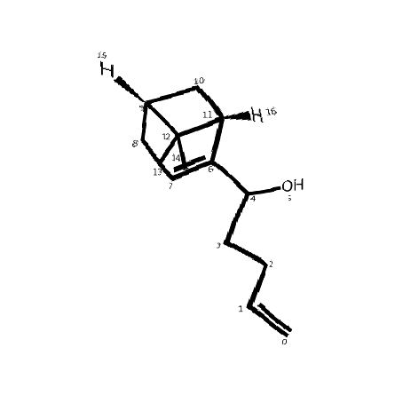 C=CCCC(O)C1=CC[C@@H]2C[C@H]1C2(C)C